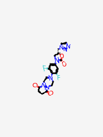 O=C1O[C@@H](Cn2ccnn2)CN1c1cc(F)c(N2CCN3C(=O)CCC(=O)N3CC2)c(F)c1